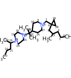 CCCC(C)CC1(CN2CCC(C(C)(C)N3CCN(C(C)CCC)CC3)CC2)CC1